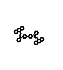 c1ccc(N(CCc2c3ccccc3cc3ccccc23)c2ccc(-c3ccc(N(CCc4c5ccccc5cc5ccccc45)c4ccccc4)cc3)cc2)cc1